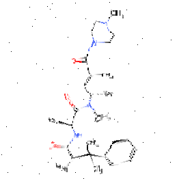 CN[C@H](C(=O)N[C@H](C(=O)N(C)[C@H](/C=C(\C)C(=O)N1CCN(C)CC1)C(C)C)C(C)(C)C)C(C)(C)c1ccccc1